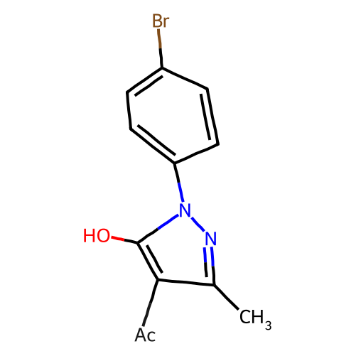 CC(=O)c1c(C)nn(-c2ccc(Br)cc2)c1O